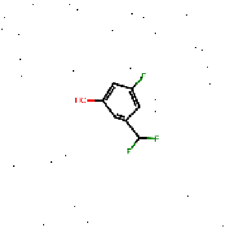 Oc1cc(F)cc(C(F)F)c1